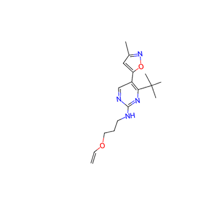 C=COCCCNc1ncc(-c2cc(C)no2)c(C(C)(C)C)n1